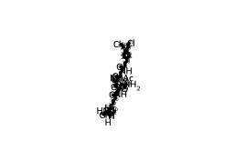 CC(=O)NCC(NC(=O)CCNC(=O)CCCc1ccc(N(CCCl)CCCl)cc1)C(=O)N(CCNC(=O)CCCC[C@@H]1SC[C@@H]2NC(=O)N[C@@H]21)CC(N)=O